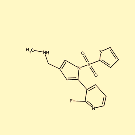 CNCc1cc(-c2cccnc2F)n(S(=O)(=O)c2cccs2)c1